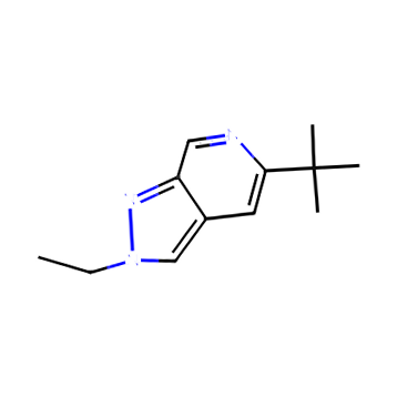 CCn1cc2cc(C(C)(C)C)ncc2n1